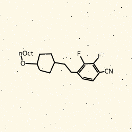 CCCCCCCCOC1CCC(CCc2ccc(C#N)c(F)c2F)CC1